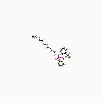 CCCCCCCCCCCCP(=O)(C(=O)c1ccccc1C(F)(F)F)c1ccccc1